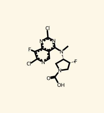 CN(c1nc(Cl)nc2c(F)c(Cl)ncc12)[C@H]1CN(C(=O)O)C[C@H]1F